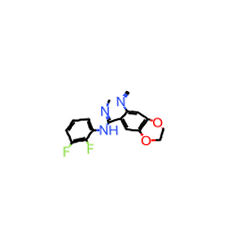 C=Nc1cc2c(cc1/C(=N\C)Nc1cccc(F)c1F)OCCO2